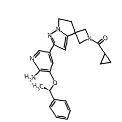 C[C@@H](Oc1cc(-c2cc3n(n2)CCC32CN(C(=O)C3CC3)C2)cnc1N)c1ccccc1